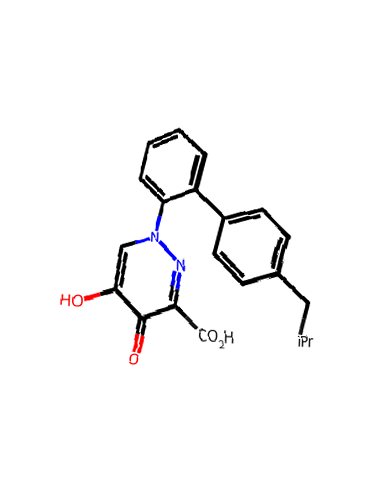 CC(C)Cc1ccc(-c2ccccc2-n2cc(O)c(=O)c(C(=O)O)n2)cc1